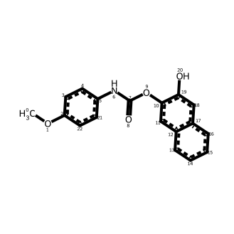 COc1ccc(NC(=O)Oc2cc3ccccc3cc2O)cc1